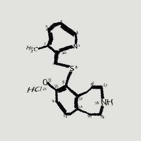 Cc1cccnc1CSc1c(Cl)ccc2c1CCNCC2.Cl